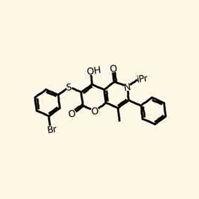 Cc1c(-c2ccccc2)n(C(C)C)c(=O)c2c(O)c(Sc3cccc(Br)c3)c(=O)oc12